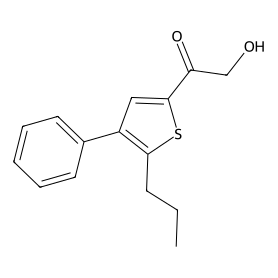 CCCc1sc(C(=O)CO)cc1-c1ccccc1